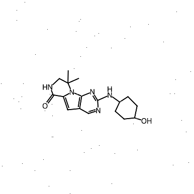 CC1(C)CNC(=O)c2cc3cnc(NC4CCC(O)CC4)nc3n21